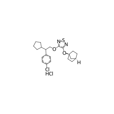 Cl.Clc1ccc(C(COc2nsnc2O[C@]23CC[C@@H](CC2)C3)C2CCCC2)cc1